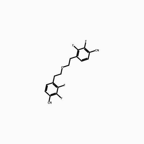 N#Cc1ccc(CCOCCc2ccc(C#N)c(F)c2F)c(F)c1F